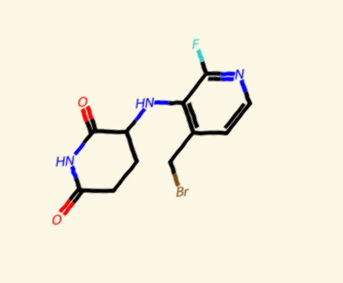 O=C1CCC(Nc2c(CBr)ccnc2F)C(=O)N1